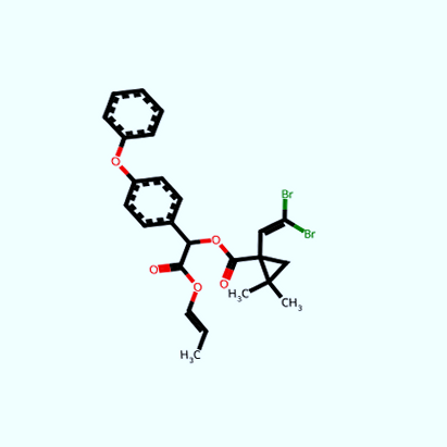 CC=COC(=O)C(OC(=O)C1(C=C(Br)Br)CC1(C)C)c1ccc(Oc2ccccc2)cc1